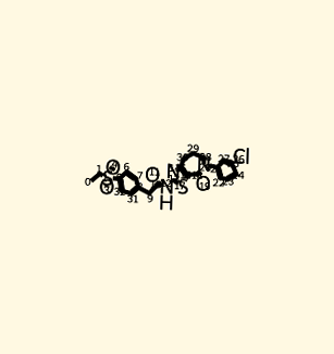 CCS(=O)(=O)c1ccc(CC(=O)Nc2nc3c(s2)C(=O)N(c2cccc(Cl)c2)CCC3)cc1